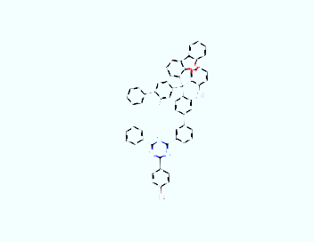 Cc1cccc(-c2nc(-c3ccc(Br)cc3)nc(-c3cccc(-c4ccc5c(c4)Nc4ccccc4C5(c4ccc(-c5ccccc5)c(C)c4)c4cccc5c4oc4ccccc45)c3)n2)c1